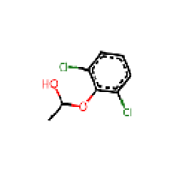 CC(O)Oc1c(Cl)cccc1Cl